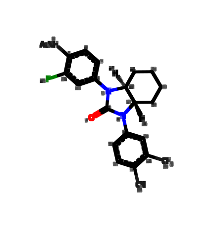 CC(=O)Nc1ccc(N2C(=O)N(c3ccc(C#N)c(C(F)(F)F)c3)[C@H]3CCCC[C@@H]32)cc1F